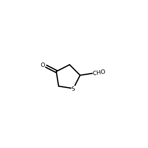 O=CC1CC(=O)CS1